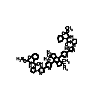 COC(=O)NC(C(=O)N1CCC[C@H]1c1ncc(-c2ccc(-c3c4c(c(-c5ccc(-c6cnc([C@@H]7CCCN7C(=O)C(NC(=O)OC)c7ccccc7)[nH]6)nc5)c5c3C(C)(C)CC5)C(C)(C)CC4)cn2)[nH]1)c1ccccc1